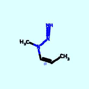 C/C=C\N(C)N=N